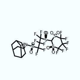 O=S(=O)(NC12CC3CC(CC(C3)C1)C2)C(F)(F)C(F)(F)C(F)(F)S(=O)(=O)C1S(=O)(=O)C(F)(F)C(F)(F)C(F)(F)S1(=O)=O